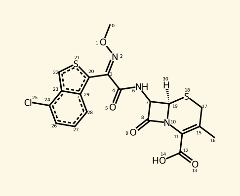 CO/N=C(/C(=O)NC1C(=O)N2C(C(=O)O)=C(C)CS[C@H]12)c1scc2c(Cl)cccc12